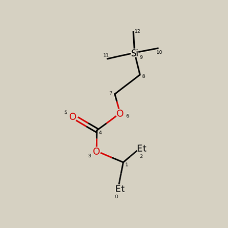 CCC(CC)OC(=O)OCC[Si](C)(C)C